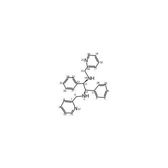 c1ccc([C@@H](NCc2ccccn2)[C@H](NCc2ccccn2)c2ccccc2)cc1